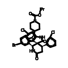 CC(C)OC(=O)N1CCC(Oc2ccc(Br)cc2[C@H]2NC(=O)C[C@@H](c3cccc(Cl)c3)[C@]23C(=O)Nc2cc(Cl)ccc23)CC1